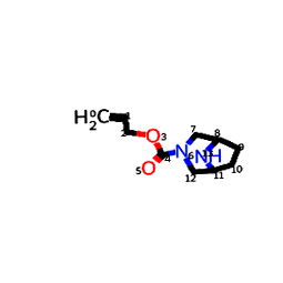 C=CCOC(=O)N1CC2CCC(C1)N2